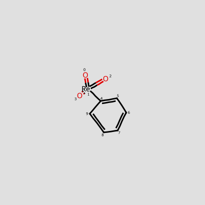 [O]=[Re](=[O])(=[O])[c]1ccccc1